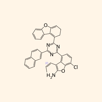 C/C=C\c1c(N)oc2c(Cl)ccc(-c3nc(C4=c5c(oc6ccccc56)=CCC4)nc(-c4ccc5ccccc5c4)n3)c12